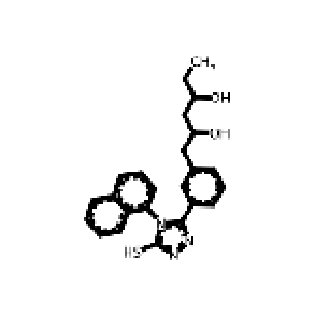 CCC(O)CC(O)Cc1cccc(-c2nnc(S)n2-c2cccc3ccccc23)c1